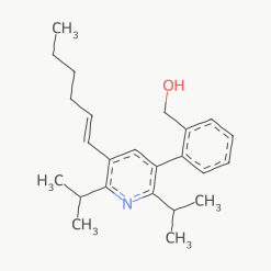 CCCC/C=C/c1cc(-c2ccccc2CO)c(C(C)C)nc1C(C)C